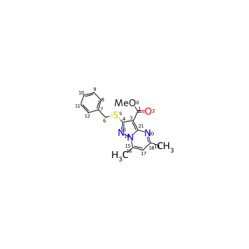 COC(=O)c1c(SCc2ccccc2)nn2c(C)cc(C)nc12